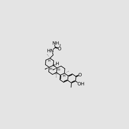 CC1=C(O)C(=O)C=C2C1=CC=C1[C@@]2(C)CC[C@@]2(C)[C@@H]3C[C@](C)(CNC(N)=O)CC[C@@]3(C)CC[C@]12C